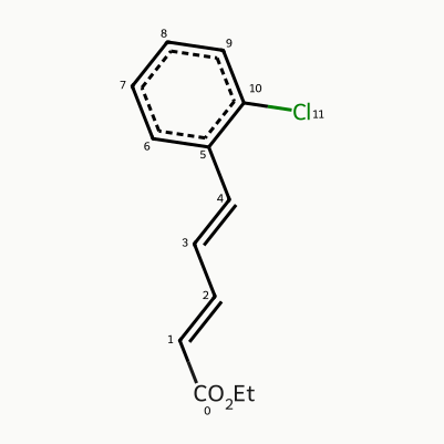 CCOC(=O)/C=C/C=C/c1ccccc1Cl